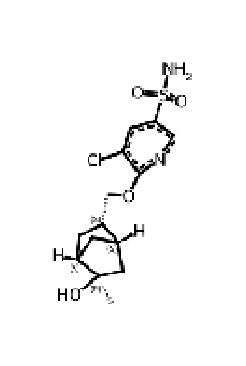 C[C@@]1(O)C[C@@H]2C[C@H]1C[C@@H]2COc1ncc(S(N)(=O)=O)cc1Cl